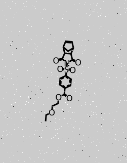 CCOCCOC(=O)c1ccc(S(=O)(=O)N2C(=O)C3C4C=CC(C4)C3C2=O)cc1